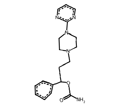 NC(=O)OC(CCN1CCN(c2ncccn2)CC1)c1ccccc1